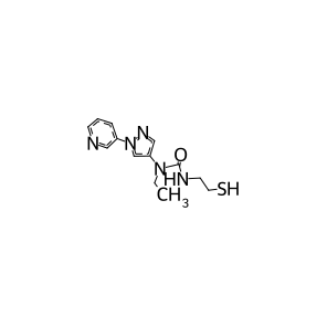 CCN(C(=O)NCCS)c1cnn(-c2cccnc2)c1